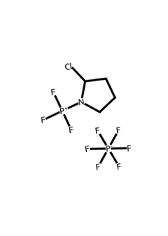 F[P+](F)(F)N1CCCC1Cl.F[P-](F)(F)(F)(F)F